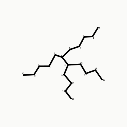 CCCCC[C](CCCCC)C(CCCC)CCCC